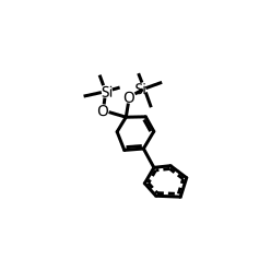 C[Si](C)(C)OC1(O[Si](C)(C)C)C=CC(c2ccccc2)=CC1